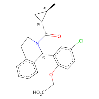 C[C@@H]1C[C@H]1C(=O)N1CCc2ccccc2[C@H]1c1cc(Cl)ccc1OCC(=O)O